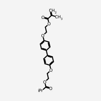 C=C(C)C(=O)OCCOc1ccc(-c2ccc(OCCOC(=O)C(C)C)cc2)cc1